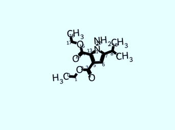 CCOC(=O)c1cc(C(C)C)n(N)c1C(=O)OCC